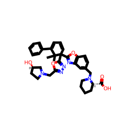 CC1(C)C(c2ccccc2)=CC=CC1(c1nnc(CN2CC[C@@H](O)C2)o1)c1nc2cc(CN3CCCC[C@H]3C(=O)O)ccc2o1